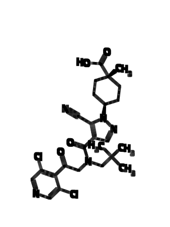 CC(C)(C)CN(CC(=O)c1c(Cl)cncc1Cl)C(=O)c1cnn([C@H]2CC[C@](C)(C(=O)O)CC2)c1C#N